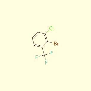 FC(F)(F)c1cccc(Cl)c1Br